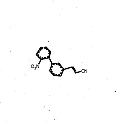 N#CC=Cc1cccc(-c2ccccc2[N+](=O)[O-])c1